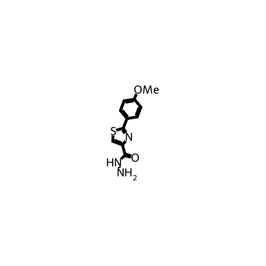 COc1ccc(-c2nc(C(=O)NN)cs2)cc1